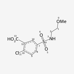 COCCNS(=O)(=O)c1ccc(Cl)c(C(=O)O)c1